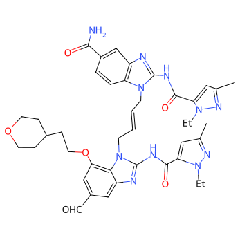 CCn1nc(C)cc1C(=O)Nc1nc2cc(C(N)=O)ccc2n1C/C=C/Cn1c(NC(=O)c2cc(C)nn2CC)nc2cc(C=O)cc(OCCC3CCOCC3)c21